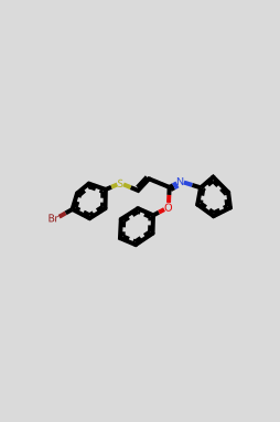 Brc1ccc(S/C=C/C(=N/c2ccccc2)Oc2ccccc2)cc1